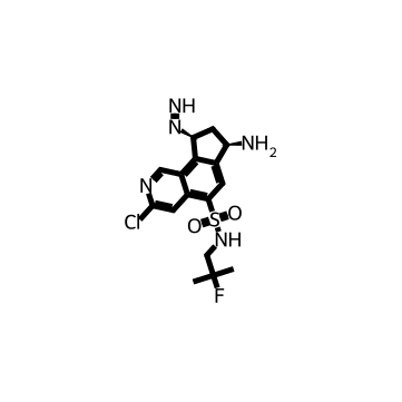 CC(C)(F)CNS(=O)(=O)c1cc2c(c3cnc(Cl)cc13)[C@@H](N=N)C[C@H]2N